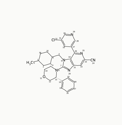 CC1CCC(Cn2c(N3CCOC[C@H]3c3ccccc3)nc3cc(C#N)nc(-c4cncc(Cl)c4)c32)CC1